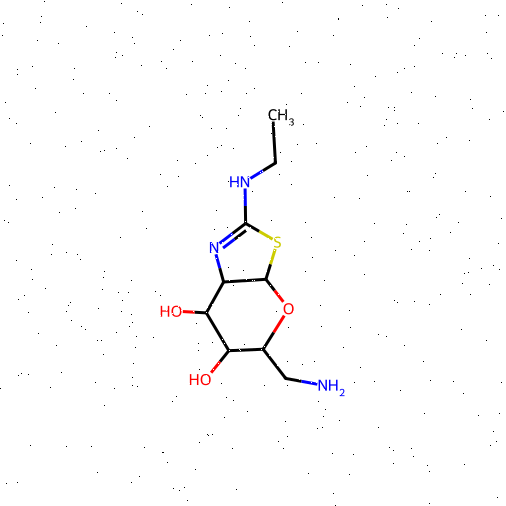 CCNC1=NC2C(OC(CN)C(O)C2O)S1